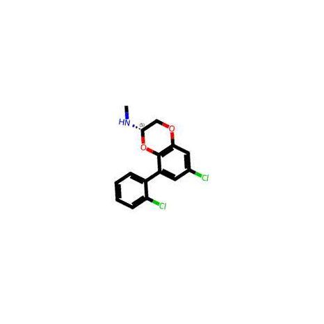 CN[C@@H]1COc2cc(Cl)cc(-c3ccccc3Cl)c2O1